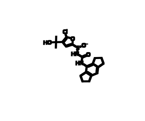 CC(C)(O)c1cc([S+]([O-])NC(=O)Nc2c3c(cc4c2CCC4)CCC3)oc1Cl